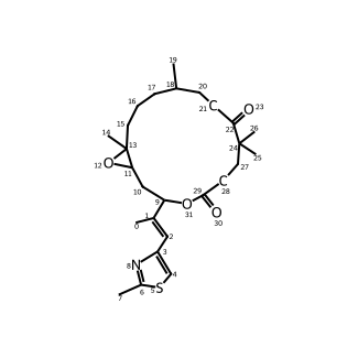 CC(=Cc1csc(C)n1)C1CC2OC2(C)CCCC(C)CCC(=O)C(C)(C)CCC(=O)O1